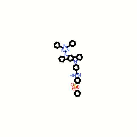 O=S(=O)(Oc1ccccc1)c1ccc2nc(-c3ccc(-n4c5ccccc5c5cc6c(cc54)c4ccccc4n6-c4nc(-c5ccccc5)nc(-c5ccccc5)n4)cc3)[nH]c2c1